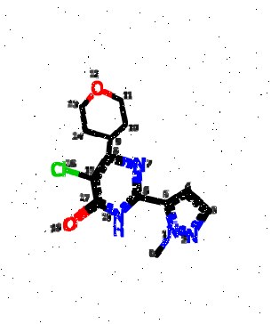 Cn1nccc1-c1nc(C2CCOCC2)c(Cl)c(=O)[nH]1